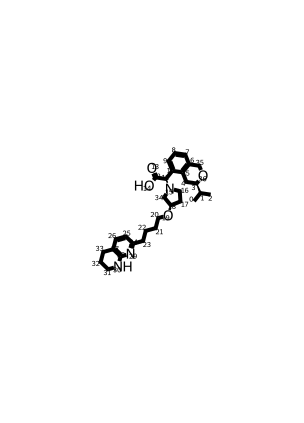 CC(C)[C@H]1Cc2c(cccc2[C@@H](C(=O)O)N2CC[C@@H](OCCCCc3ccc4c(n3)NCCC4)C2)CO1